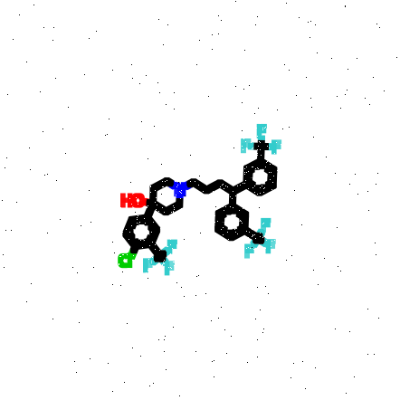 OC1(c2ccc(Cl)c(C(F)(F)F)c2)CCN(CCCC(c2cccc(C(F)(F)F)c2)c2cccc(C(F)(F)F)c2)CC1